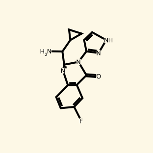 NC(c1nc2ccc(F)cc2c(=O)n1-c1cc[nH]n1)C1CC1